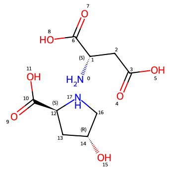 N[C@@H](CC(=O)O)C(=O)O.O=C(O)[C@@H]1C[C@@H](O)CN1